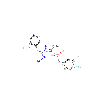 Cc1ccccc1C/C(=N\C#N)NC(NC(=O)Cc1ccc(F)c(F)c1)C(C)(C)C